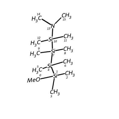 CO[Si](C)(C)[Si](C)(C)[Si](C)(C)[Si](C)(C)N(C)C